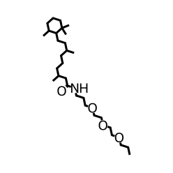 CCCOCCOCCOCCCNC(=O)CC(C)CCCC(C)CCC1C(C)CCCC1(C)C